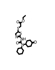 CCOC(=O)CSC1CN=C(NC(=O)N(C2CCCCC2)C2CCC(=O)CC2)S1